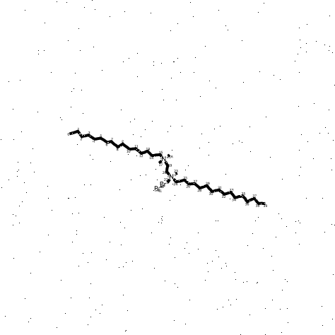 CCCCCCCCCCCCCCCC[N+](C)(C)CC[N+](C)(C)CCCCCCCCCCCCCCCC.[Br-].[Br-]